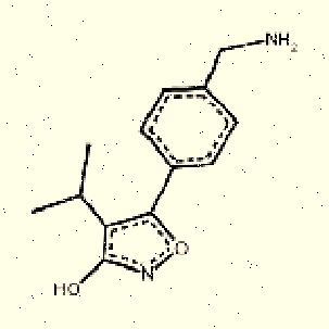 CC(C)c1c(O)noc1-c1ccc(CN)cc1